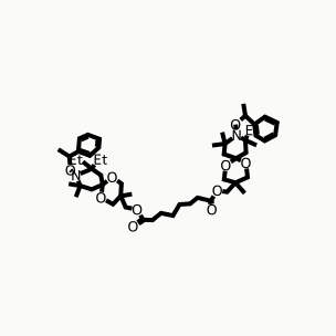 CCC1(C)CC2(CC(C)(C)N1OC(C)c1ccccc1)OCC(C)(COC(=O)CCCCCCC(=O)OCC1(C)COC3(CC(C)(C)N(OC(C)c4ccccc4)C(CC)(CC)C3)OC1)CO2